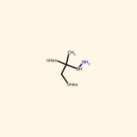 CCCCCCCC(C)(BN)CCCCCC